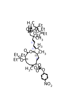 CCC(O[Si](CC)(CC)CC)C(C)[C@H]1O[C@@H]1CC(C)(/C=C/C=C(\C)[C@H]1OC(=O)C[C@H](O[Si](CC)(CC)CC)CC[C@@](C)(OC(C)=O)[C@@H](OC(=O)Oc2ccc([N+](=O)[O-])cc2)/C=C/[C@@H]1C)O[Si](CC)(CC)CC